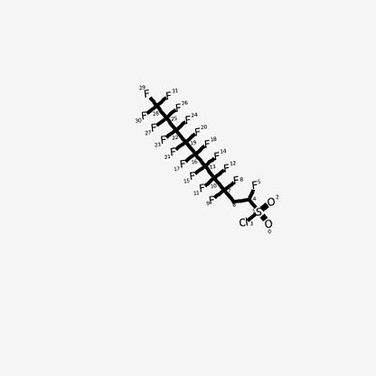 O=S(=O)(Cl)C(F)CC(F)(F)C(F)(F)C(F)(F)C(F)(F)C(F)(F)C(F)(F)C(F)(F)C(F)(F)F